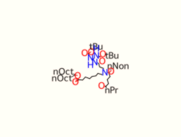 CCCCCCCCCOC(CCCC(=O)CCC)N(CCCCCCCC(=O)OC(CCCCCCCC)CCCCCCCC)CCCN=C(NC(=O)OC(C)(C)C)NC(=O)OC(C)(C)C